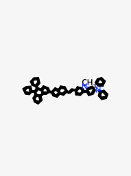 Cn1c2cc(/C=C/c3ccc4cc(-c5ccc6c(-c7ccccc7)c(-c7ccccc7)c7ccccc7c6c5)ccc4c3)ccc2c2ccc(N(c3ccccc3)c3ccccc3)cc21